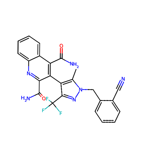 Cc1c(-c2c(C(N)=O)nc3ccccc3c2C(N)=O)c(C(F)(F)F)nn1Cc1ccccc1C#N